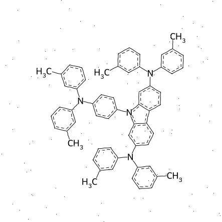 Cc1cccc(N(c2ccc(-n3c4cc(N(c5cccc(C)c5)c5cccc(C)c5)ccc4c4ccc(N(c5cccc(C)c5)c5cccc(C)c5)cc43)cc2)c2cccc(C)c2)c1